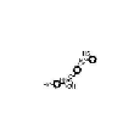 O=C(N[C@H](CO)c1ccc(O)cc1)OCc1ccc(OCNc2ccccc2S)cc1